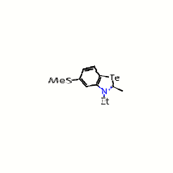 CC[n+]1c(C)[te]c2ccc(SC)cc21